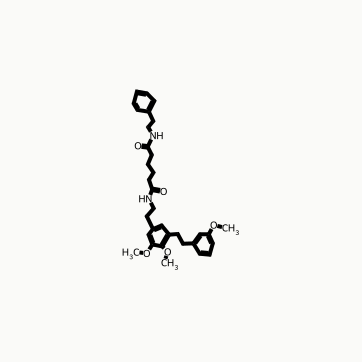 COc1cccc(CCc2cc(CCNC(=O)CCCCC(=O)NCCc3ccccc3)cc(OC)c2OC)c1